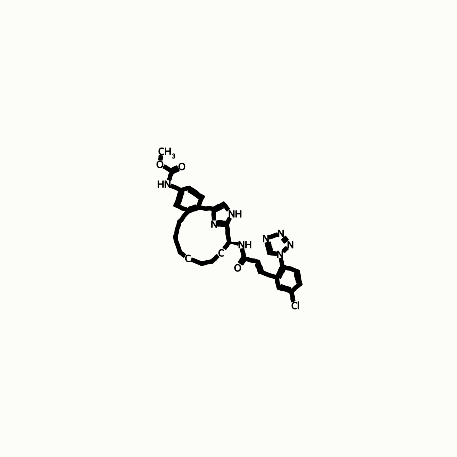 COC(=O)Nc1ccc2c(c1)CCCCCCC[C@H](NC(=O)/C=C/c1cc(Cl)ccc1-n1cnnn1)c1nc-2c[nH]1